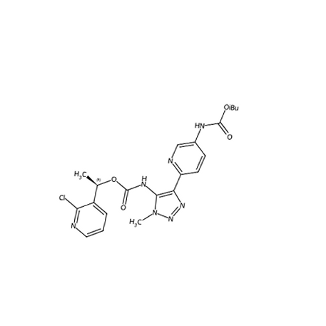 CC(C)COC(=O)Nc1ccc(-c2nnn(C)c2NC(=O)O[C@H](C)c2cccnc2Cl)nc1